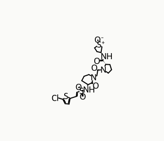 O=C(NC1CC[S+]([O-])C1)[C@@H]1CCCN1C(=O)CN1CCC[C@H](NS(=O)(=O)/C=C/c2ccc(Cl)s2)C1=O